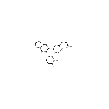 Cc1c(C#N)cccc1-c1nc2[nH]c(=O)ccc2cc1-c1cc(Cl)c2nccn2c1